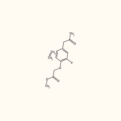 C=C.COC(=O)COc1ccc(CC(C)=O)cc1F